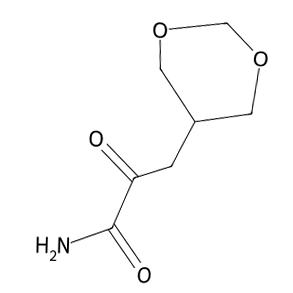 NC(=O)C(=O)CC1COCOC1